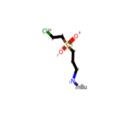 CCCC[N]CCCS(=O)(=O)CCCl